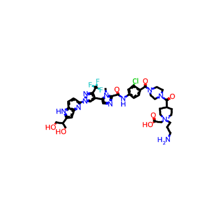 Cn1c(-c2cn(-c3ccc4[nH]c(C(CO)CO)cc4n3)nc2C(F)(F)F)cnc1C(=O)Nc1ccc(C(=O)N2CCN(C(=O)C3CC[N+](CCCN)(CC(=O)O)CC3)CC2)c(Cl)c1